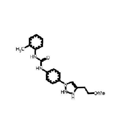 COCCC1=CN(c2ccc(NC(=O)Nc3ccccc3C)cc2)NN1